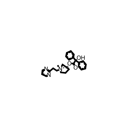 C[N+]1(CCc2ncccn2)CCC[C@@H](OC(=O)C(O)(c2ccccc2)c2ccccc2)C1